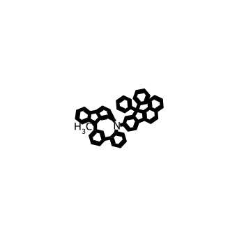 CC12c3cccc(c3)-c3ccccc3N(c3ccc4c(c3)C(c3ccccc3)(c3ccccc3)c3c-4ccc4ccccc34)c3ccc(c1c3)-c1ccccc12